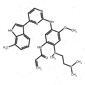 C=CC(=O)Nc1cc(Nc2nccc(-c3c[nH]c4c(C)cccc34)n2)c(OC)cc1N(C)CCN(C)C